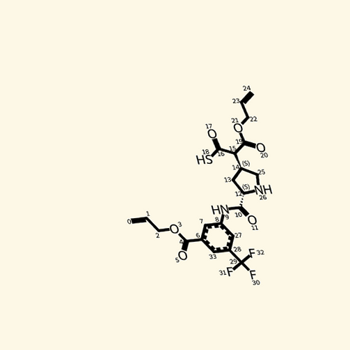 C=CCOC(=O)c1cc(NC(=O)[C@@H]2C[C@@H](C(C(=O)S)C(=O)OCC=C)CN2)cc(C(F)(F)F)c1